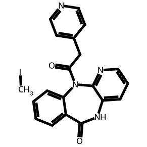 CI.O=C1Nc2cccnc2N(C(=O)Cc2ccncc2)c2ccccc21